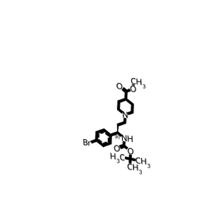 COC(=O)C1CCN(CC[C@@H](NC(=O)OC(C)(C)C)c2ccc(Br)cc2)CC1